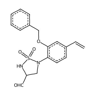 C=Cc1ccc(N2CC(C=O)NS2(=O)=O)c(OCc2ccccc2)c1